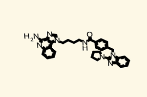 Nc1nc2ccccc2c2c1ncn2CCCCNC(=O)c1ccc(Cn2c(N3CCCC3)nc3ccccc32)cc1